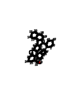 c1ccc(-n2c3cc4c(cc3c3c5ccccc5ccc32)Oc2ccccc2C42c3ccccc3-c3ccccc32)cc1